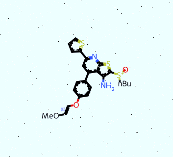 CCCC[S+]([O-])c1sc2nc(-c3cccs3)cc(-c3ccc(O/C=C/OC)cc3)c2c1N